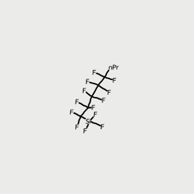 CCCC(F)(F)C(F)(F)C(F)(F)C(F)(F)C(F)(F)[Si](F)(F)F